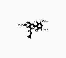 COc1cc(OC)c(Cl)c(-c2cc3cnc(SC)nc3c(NCC3CC3)n2)c1Cl